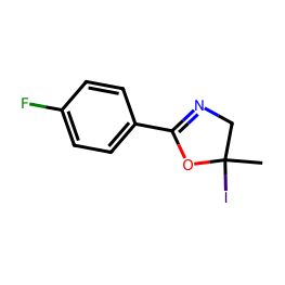 CC1(I)CN=C(c2ccc(F)cc2)O1